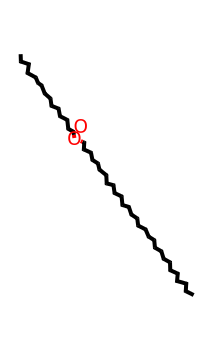 CCCCCCCCCCCCCCCCCCCCCCCCCCCCCOC(=O)CCCCCCCCCCCCCC